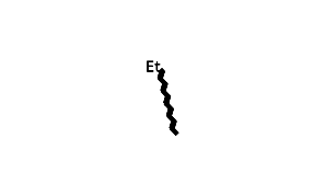 [CH2]CC=CC=CC=CC=CC=CC